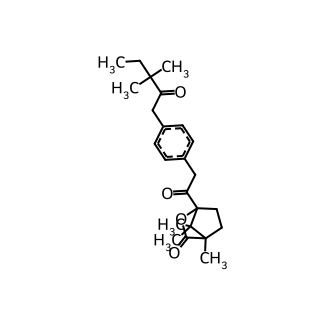 CCC(C)(C)C(=O)Cc1ccc(CC(=O)C23CCC(C)(C(=O)O2)C3(C)C)cc1